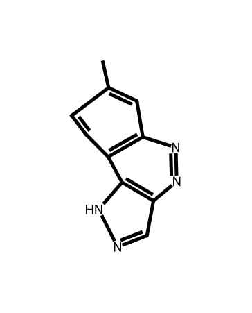 Cc1ccc2c(c1)nnc1cn[nH]c12